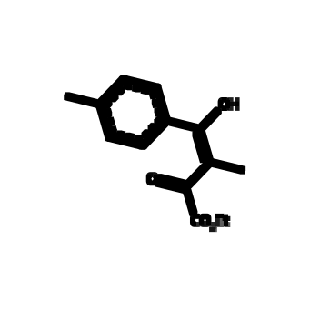 CCOC(=O)C(=O)C(C)=C(O)c1ccc(C)cc1